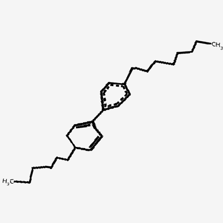 CCCCCCCCc1ccc(C2=CCC(CCCCCC)C=C2)cc1